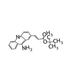 CC(C)(C)OC(=O)C=Cc1ccc2nc3ccccc3c(N)c2c1